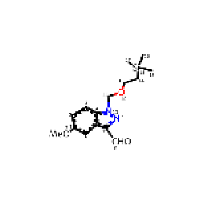 COc1ccc2c(c1)c(C=O)nn2COCC[Si](C)(C)C